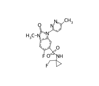 Cc1ccc(-n2c(=O)n(C)c3cc(F)c(S(=O)(=O)NC4(CF)CC4)cc32)nn1